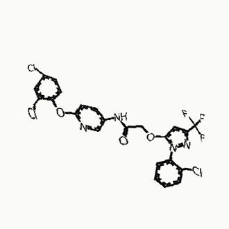 O=C(COc1cc(C(F)(F)F)nn1-c1ccccc1Cl)Nc1ccc(Oc2ccc(Cl)cc2Cl)nc1